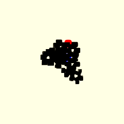 CC1(C)c2ccccc2-c2ccc(N(c3ccc(-c4ccccc4)cc3)c3cccc4oc5ccc6c(c5c34)-c3ccccc3C6(C)C)cc21